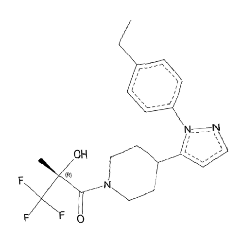 CCc1ccc(-n2nccc2C2CCN(C(=O)[C@@](C)(O)C(F)(F)F)CC2)cc1